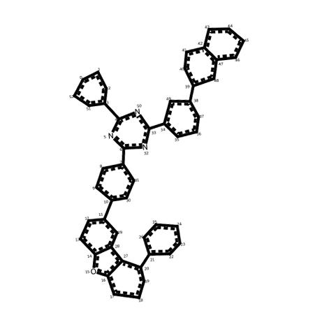 c1ccc(-c2nc(-c3ccc(-c4ccc5oc6cccc(-c7ccccc7)c6c5c4)cc3)nc(-c3cccc(-c4ccc5ccccc5c4)c3)n2)cc1